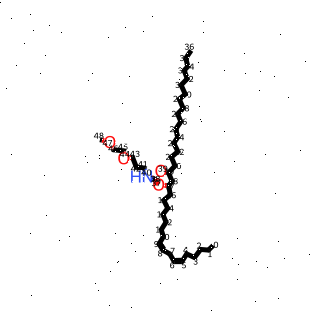 CCCCC/C=C\C/C=C\CCCCCCCC(CCCCCCCCCCCCCCCCCCC)OC(=O)NCCCOCCOC